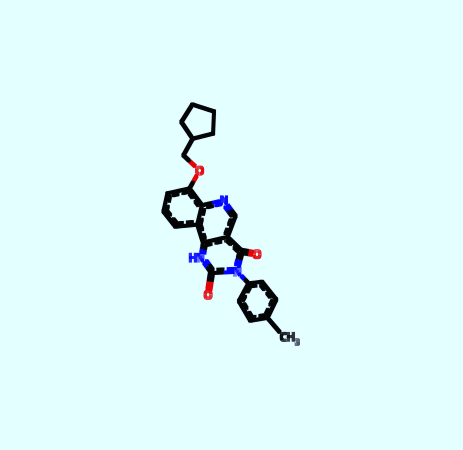 Cc1ccc(-n2c(=O)[nH]c3c(cnc4c(OCC5CCCC5)cccc43)c2=O)cc1